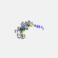 CCCCC(CC)C[Si]1(CC(CC)CCCC)c2cc(-c3ccc(C(C)(C)N)s3)sc2-c2sc(-c3c(F)c(F)c(-c4cc5c(s4)-c4sc(C(C)(CC)CC)cc4[Si]5(CC(CC)CCCC)CC(CC)CCCC)c4nsnc34)cc21